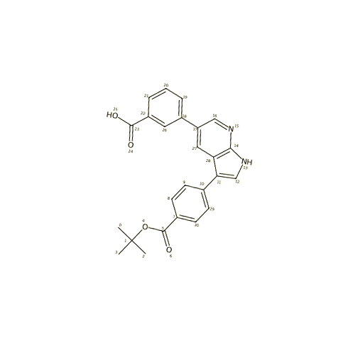 CC(C)(C)OC(=O)c1ccc(-c2c[nH]c3ncc(-c4cccc(C(=O)O)c4)cc23)cc1